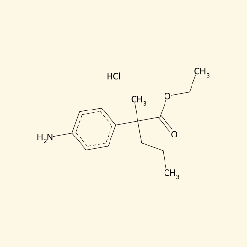 CCCC(C)(C(=O)OCC)c1ccc(N)cc1.Cl